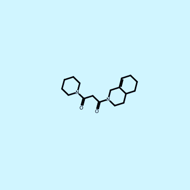 O=C(CC(=O)N1CCC2CCCC=C2C1)N1CCCCC1